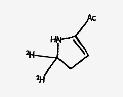 [2H]C1([2H])CC=C(C(C)=O)N1